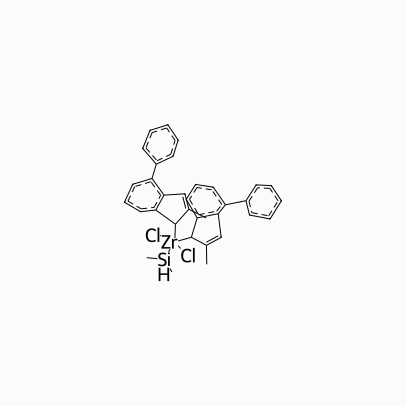 CC1=Cc2c(-c3ccccc3)cccc2[CH]1[Zr]([Cl])([Cl])([CH]1C(C)=Cc2c(-c3ccccc3)cccc21)[SiH](C)C